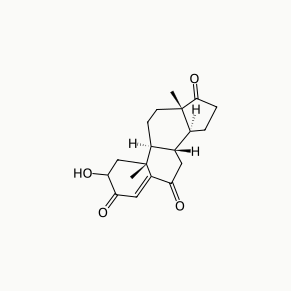 C[C@]12CC(O)C(=O)C=C1C(=O)C[C@@H]1[C@@H]2CC[C@]2(C)C(=O)CC[C@@H]12